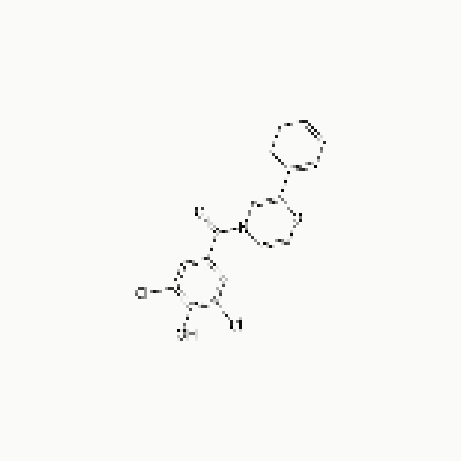 O=C(c1cc(Cl)c(O)c(Cl)c1)N1C=COC(C2=CC=CCC2)=C1